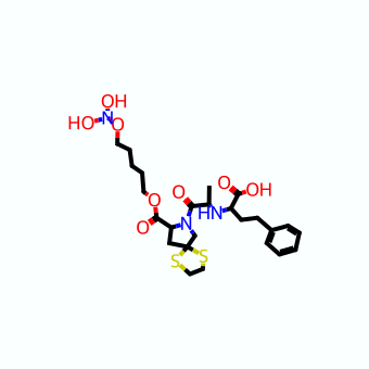 CC(NC(CCc1ccccc1)C(=O)O)C(=O)N1CC2(CC1C(=O)OCCCCCON(O)O)SCCS2